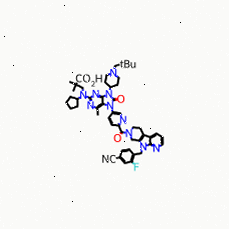 Cc1nc(N(CC(C)(C)C(=O)O)C2CCCC2)nc2c1n(-c1ccc(C(=O)N3CCc4c(n(Cc5ccc(C#N)cc5F)c5ncccc45)C3)nc1)c(=O)n2C1CCN(CC(C)(C)C)CC1